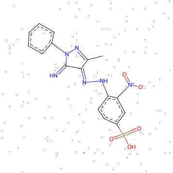 CC1=NN(c2ccccc2)C(=N)/C1=N/Nc1ccc(S(=O)(=O)O)cc1[N+](=O)[O-]